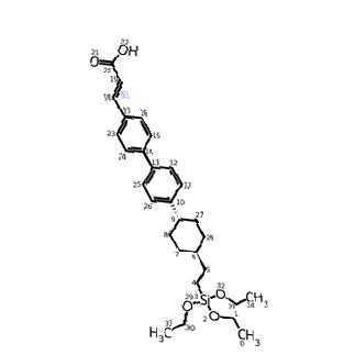 CCO[Si](CC[C@H]1CC[C@H](c2ccc(-c3ccc(/C=C/C(=O)O)cc3)cc2)CC1)(OCC)OCC